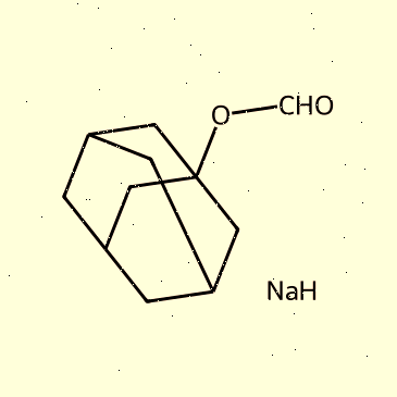 O=COC12CC3CC(CC(C3)C1)C2.[NaH]